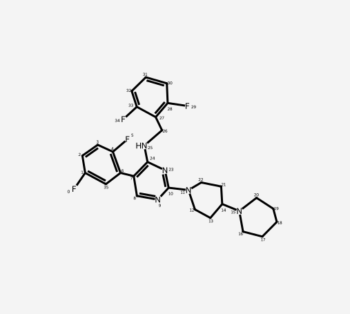 Fc1ccc(F)c(-c2cnc(N3CCC(N4CCCCC4)CC3)nc2NCc2c(F)cccc2F)c1